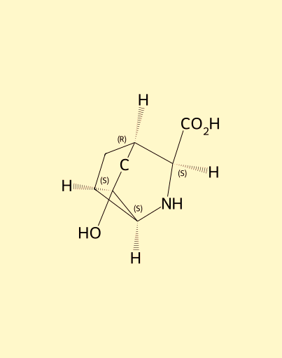 O=C(O)[C@H]1N[C@H]2CC[C@@H]1C[C@@H]2O